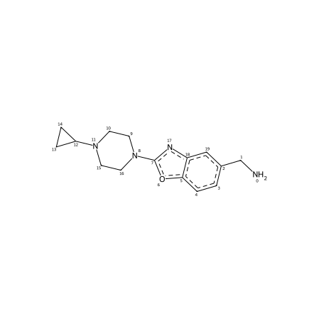 NCc1ccc2oc(N3CCN(C4CC4)CC3)nc2c1